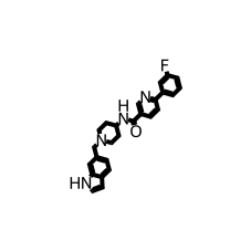 O=C(NC1CCN(Cc2ccc3cc[nH]c3c2)CC1)c1ccc(-c2cccc(F)c2)nc1